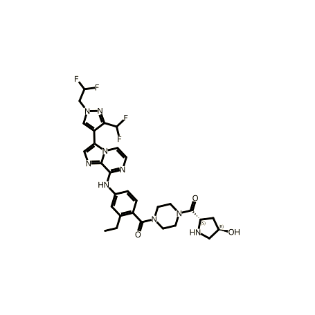 CCc1cc(Nc2nccn3c(-c4cn(CC(F)F)nc4C(F)F)cnc23)ccc1C(=O)N1CCN(C(=O)[C@@H]2C[C@@H](O)CN2)CC1